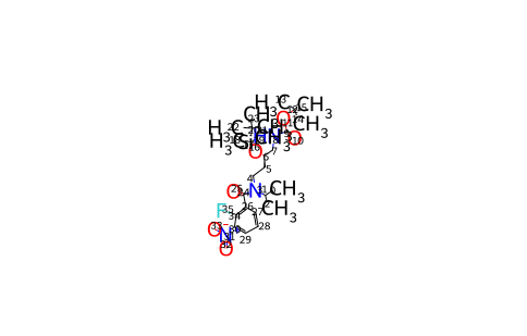 CC(C)N(CC[C@H](CNC(=O)OC(C)(C)C)O[Si](C)(C)C(C)(C)C)C(=O)c1cccc([N+](=O)[O-])c1F